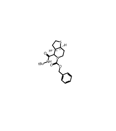 CC(C)(C)NC(=O)C1[C@H]2CCS[C@H]2CCN1C(=O)OCc1ccccc1